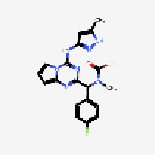 Cc1cc(Nc2nc(C(c3ccc(F)cc3)N(C)C(=O)O)nc3cccn23)n[nH]1